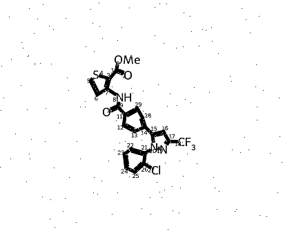 COC(=O)c1sccc1NC(=O)c1ccc(-c2cc(C(F)(F)F)nn2-c2ccccc2Cl)cc1